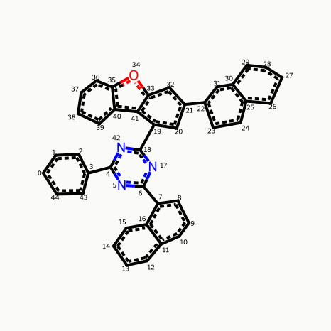 c1ccc(-c2nc(-c3cccc4ccccc34)nc(-c3cc(-c4ccc5ccccc5c4)cc4oc5ccccc5c34)n2)cc1